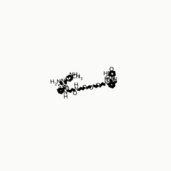 CC1(N)CCN(c2cnc(Sc3cccc(NC(=O)CCC(=O)NCCCOCCOCCOCCCNc4cccc5cnn(C6CCC(=O)NC6=O)c(=O)c45)c3Cl)c(N)n2)CC1